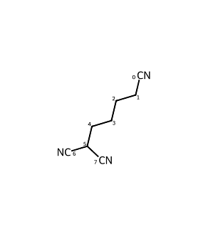 N#CCCCCC(C#N)C#N